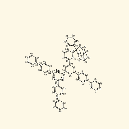 c1ccc(-c2ccc(-c3cc(-c4ccc5c(c4)C4(c6ccccc6-5)C5CC6CC(C5)CC4C6)cc(-c4nc(-c5ccc(-c6ccccc6)cc5)nc(-c5ccc(-c6ccccc6)cc5)n4)c3)cc2)cc1